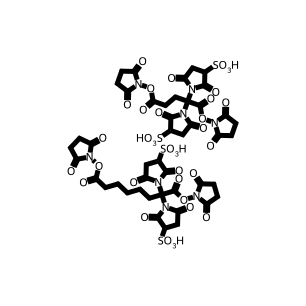 O=C(CCC(C(=O)ON1C(=O)CCC1=O)(N1C(=O)CC(S(=O)(=O)O)C1=O)N1C(=O)CC(S(=O)(=O)O)C1=O)ON1C(=O)CCC1=O.O=C(CCCCCC(C(=O)ON1C(=O)CCC1=O)(N1C(=O)CC(S(=O)(=O)O)C1=O)N1C(=O)CC(S(=O)(=O)O)C1=O)ON1C(=O)CCC1=O